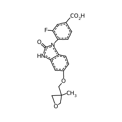 CC1(COc2ccc3c(c2)[nH]c(=O)n3-c2ccc(C(=O)O)cc2F)COC1